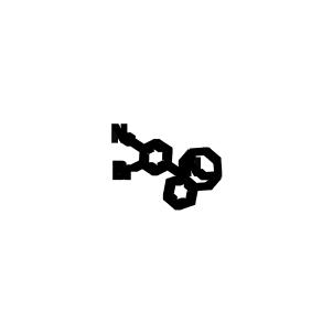 N#Cc1ccc(CN2CC3CCC2Cc2ccccc2C3)cc1Br